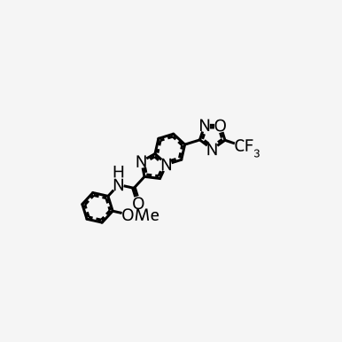 COc1ccccc1NC(=O)c1cn2cc(-c3noc(C(F)(F)F)n3)ccc2n1